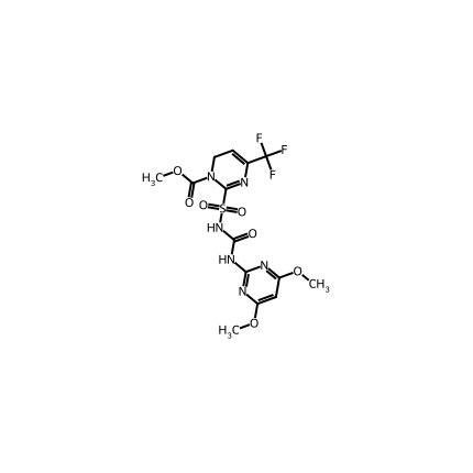 COC(=O)N1CC=C(C(F)(F)F)N=C1S(=O)(=O)NC(=O)Nc1nc(OC)cc(OC)n1